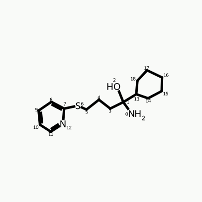 NC(O)(CCCSc1ccccn1)C1CCCCC1